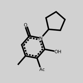 CC(=O)c1c(C)cc(=O)n(C2CCCC2)c1O